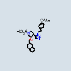 COc1ccc(CCn2nncc2C2CCN(C(=O)O)CC2OCc2ccc3ccccc3c2)cc1